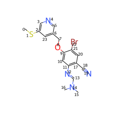 CSc1cncc(COc2cc(/N=C/N(C)C)c(C#N)cc2Br)c1